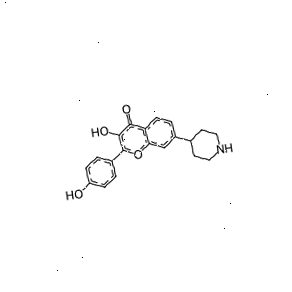 O=c1c(O)c(-c2ccc(O)cc2)oc2cc(C3CCNCC3)ccc12